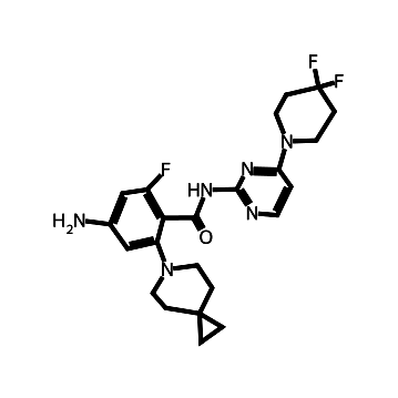 Nc1cc(F)c(C(=O)Nc2nccc(N3CCC(F)(F)CC3)n2)c(N2CCC3(CC2)CC3)c1